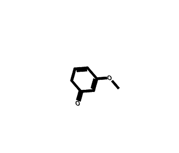 COC1=CC(=O)CC=C1